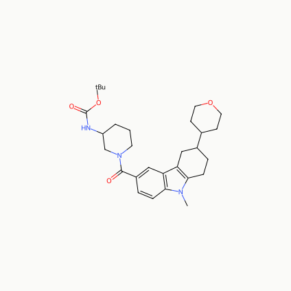 Cn1c2c(c3cc(C(=O)N4CCCC(NC(=O)OC(C)(C)C)C4)ccc31)CC(C1CCOCC1)CC2